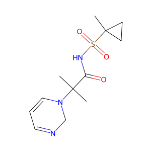 CC(C)(C(=O)NS(=O)(=O)C1(C)CC1)N1C=CC=NC1